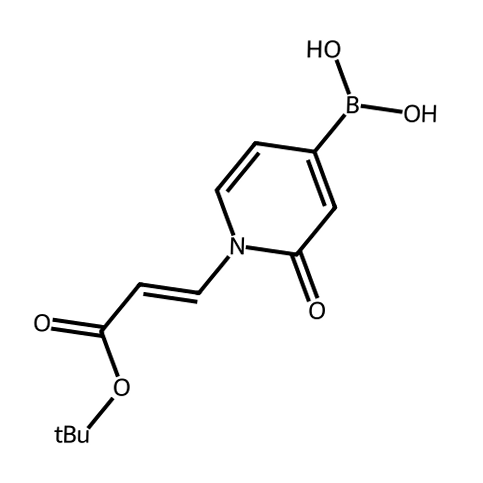 CC(C)(C)OC(=O)C=Cn1ccc(B(O)O)cc1=O